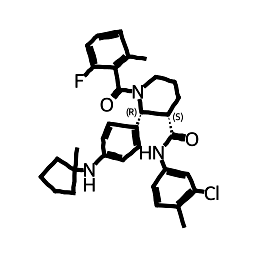 Cc1ccc(NC(=O)[C@H]2CCCN(C(=O)c3c(C)cccc3F)[C@H]2c2ccc(NC3(C)CCCC3)cc2)cc1Cl